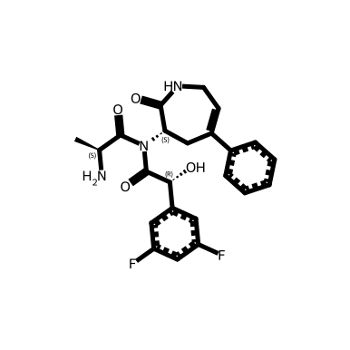 C[C@H](N)C(=O)N(C(=O)[C@H](O)c1cc(F)cc(F)c1)[C@H]1CC(c2ccccc2)=CCNC1=O